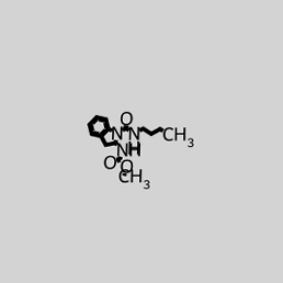 CCCCNC(=O)N1c2ccccc2CC1NC(=O)OC